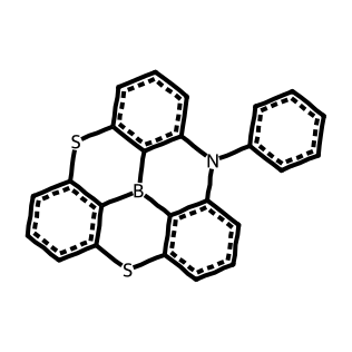 c1ccc(N2c3cccc4c3B3c5c(cccc5Sc5cccc2c53)S4)cc1